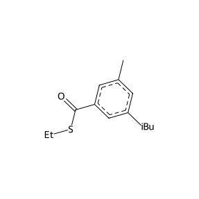 CCSC(=O)c1cc(C)cc(C(C)CC)c1